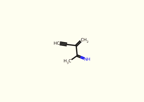 C#CC(=C)C(C)=N